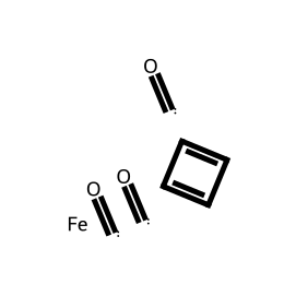 C1=CC=C1.[C]=O.[C]=O.[C]=O.[Fe]